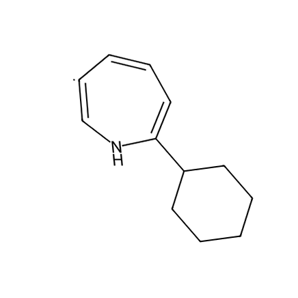 [C]1=CNC(C2CCCCC2)=CC=C1